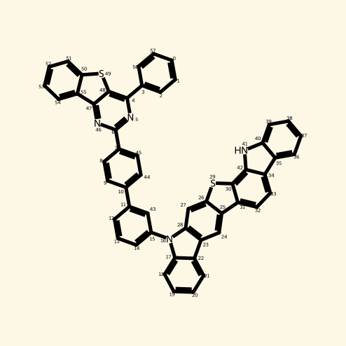 c1ccc(-c2nc(-c3ccc(-c4cccc(-n5c6ccccc6c6cc7c(cc65)sc5c7ccc6c7ccccc7[nH]c65)c4)cc3)nc3c2sc2ccccc23)cc1